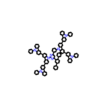 c1ccc(-c2ccc(-c3ccccc3)c(-c3cc(-c4cccc(-n5c6ccc(-c7ccc8c(c7)c7ccccc7n8-c7ccccc7)cc6c6cc(-c7ccc8c(c7)c7ccccc7n8-c7ccccc7)ccc65)c4)nc(-n4c5ccc(-c6ccc7c(c6)c6ccccc6n7-c6ccccc6)cc5c5cc(-c6ccc7c(c6)c6ccccc6n7-c6ccccc6)ccc54)n3)c2)cc1